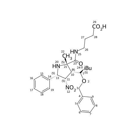 CC[C@H](C)C(OCc1ccccc1)[C@@H]1[C@H]([N+](=O)[O-])[C@H](c2ccccc2)N[C@]1(C)C(=O)NCCCC(=O)O